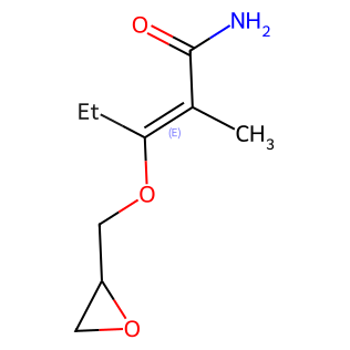 CC/C(OCC1CO1)=C(/C)C(N)=O